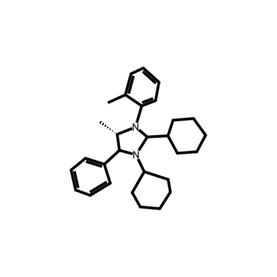 Cc1ccccc1N1C(C2CCCCC2)N(C2CCCCC2)C(c2ccccc2)[C@@H]1C